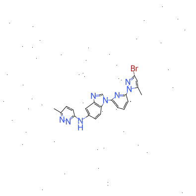 Cc1ccc(Nc2ccc3c(c2)ncn3-c2cc[c]c(-n3nc(Br)cc3C)n2)nn1